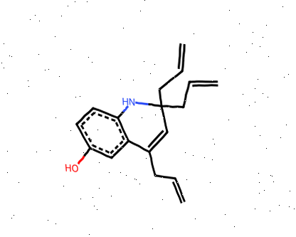 C=CCC1=CC(CC=C)(CC=C)Nc2ccc(O)cc21